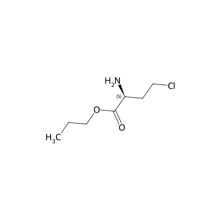 CCCOC(=O)[C@@H](N)CCCl